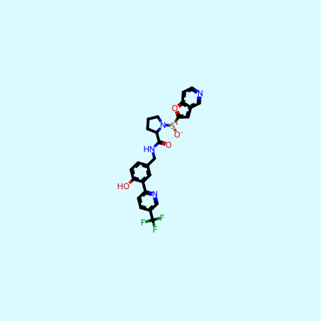 O=C(NCc1ccc(O)c(-c2ccc(C(F)(F)F)cn2)c1)C1CCCN1[S+]([O-])c1cc2cnccc2o1